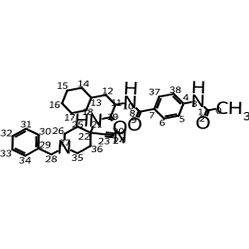 CC(=O)Nc1ccc(C(=O)NC(CC2CCCCC2)C(=O)NC2(C#N)CCN(Cc3ccccc3)CC2)cc1